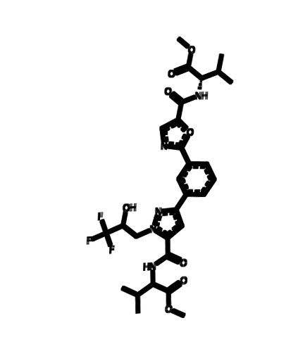 COC(=O)C(NC(=O)c1cc(-c2cccc(-c3ncc(C(=O)N[C@H](C(=O)OC)C(C)C)o3)c2)nn1CC(O)C(F)(F)F)C(C)C